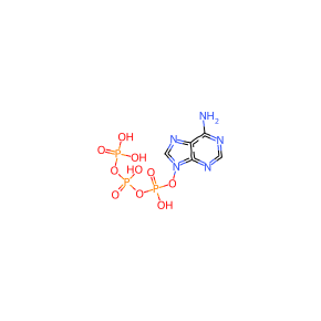 Nc1ncnc2c1ncn2OP(=O)(O)OP(=O)(O)OP(=O)(O)O